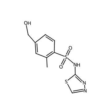 Cc1cc(CO)ccc1S(=O)(=O)Nc1nncs1